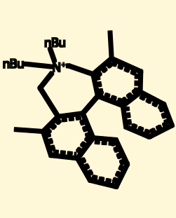 CCCC[N+]1(CCCC)Cc2c(C)cc3ccccc3c2-c2c(c(C)cc3ccccc23)C1